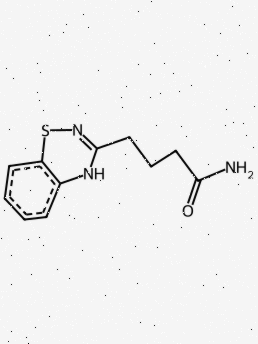 NC(=O)CCCC1=NSc2ccccc2N1